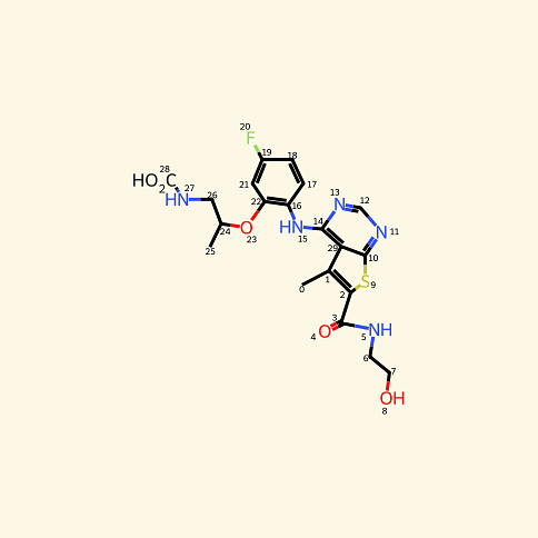 Cc1c(C(=O)NCCO)sc2ncnc(Nc3ccc(F)cc3OC(C)CNC(=O)O)c12